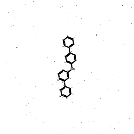 B(c1ccc(-c2ccccc2)cc1)c1cccc(-c2ccccc2)c1